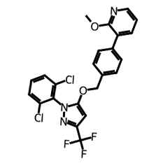 COc1ncccc1-c1ccc(COc2cc(C(F)(F)F)nn2-c2c(Cl)cccc2Cl)cc1